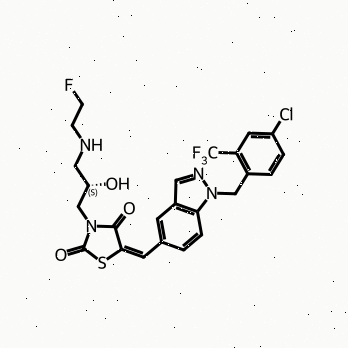 O=C1SC(=Cc2ccc3c(cnn3Cc3ccc(Cl)cc3C(F)(F)F)c2)C(=O)N1C[C@@H](O)CNCCF